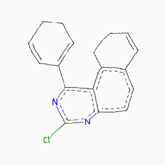 Clc1nc(C2=CCCC=C2)c2c3c(ccc2n1)C=CCC3